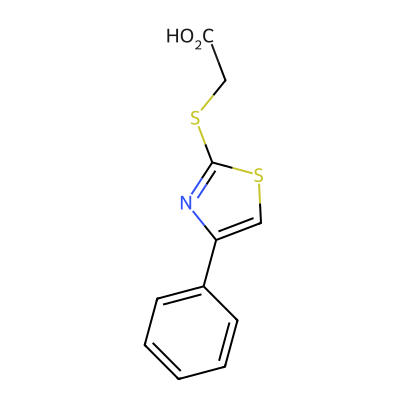 O=C(O)CSc1nc(-c2ccccc2)cs1